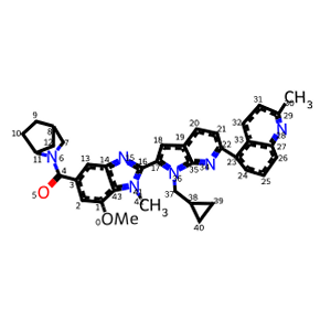 COc1cc(C(=O)N2CC3CCC2C3)cc2nc(-c3cc4ccc(-c5cccc6nc(C)ccc56)nc4n3CC3CC3)n(C)c12